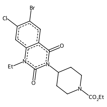 CCOC(=O)N1CCC(n2c(=O)c3cc(Br)c(Cl)cc3n(CC)c2=O)CC1